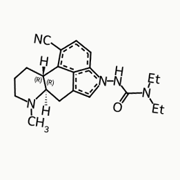 CCN(CC)C(=O)Nn1cc2c3c(c(C#N)ccc31)[C@H]1CCCN(C)[C@@H]1C2